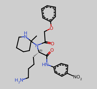 CC1(N(C(=O)COc2ccccc2)[C@@H](CCCCN)C(=O)Nc2ccc([N+](=O)[O-])cc2)CCCCN1